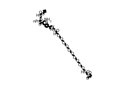 CCCN(OCCNC(=O)OC1CCC1)C(=O)C1=Cc2ccc(-c3cnc(CNC(=O)CCOCCOCCOCCOCCOCCOCCOCCOCCOCCOCCNC(=O)CN4C(=O)C=CC4=O)nc3)cc2N=C(N)C1